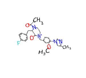 COc1cc(/C=[N+]2\CCN(C(C)=O)C(Cc3ccc(F)cc3)C2=O)ccc1-n1cnc(C)c1